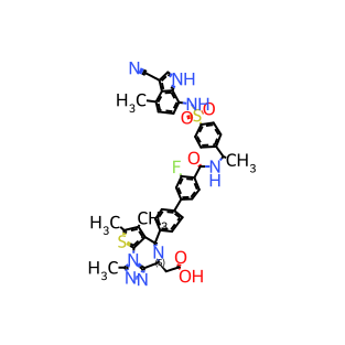 Cc1sc2c(c1C)C(c1ccc(-c3ccc(C(=O)NC(C)c4ccc(S(=O)(=O)Nc5ccc(C)c6c(C#N)c[nH]c56)cc4)c(F)c3)cc1)=N[C@@H](CC(=O)O)c1nnc(C)n1-2